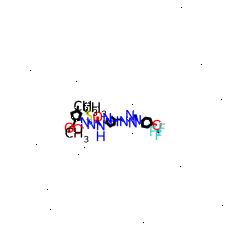 CCS/C(=N\C(=O)Nc1ccc(CNc2ncn(-c3ccc(OC(F)(F)F)cc3)n2)cn1)N(C=O)c1cc(C)ccc1COC